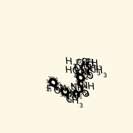 CCC(C)C(=O)N(C(=O)C(C)(C)C)c1cc2[nH]c(C(=O)c3cnn(-c4cnc(Oc5ccccc5F)cc4C)c3N)cc2cc1O